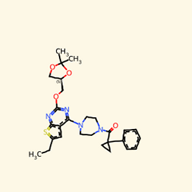 CCc1cc2c(N3CCN(C(=O)C4(c5ccccc5)CC4)CC3)nc(OC[C@H]3COC(C)(C)O3)nc2s1